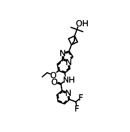 CCOc1cc2nc(C34CC(C(C)(C)O)(C3)C4)cn2cc1NC(=O)c1cccc(C(F)F)n1